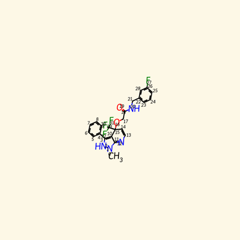 CN1NC(c2ccccc2)=C2C1=NC=CC2(OCC(=O)NCc1cccc(F)c1)C(F)(F)F